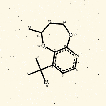 CCC(C)(C)c1ccnc2c1OC(C)CCO2